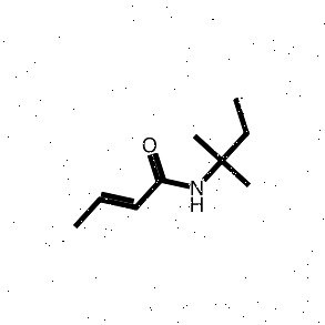 [CH2]CC(C)(C)NC(=O)C=CC